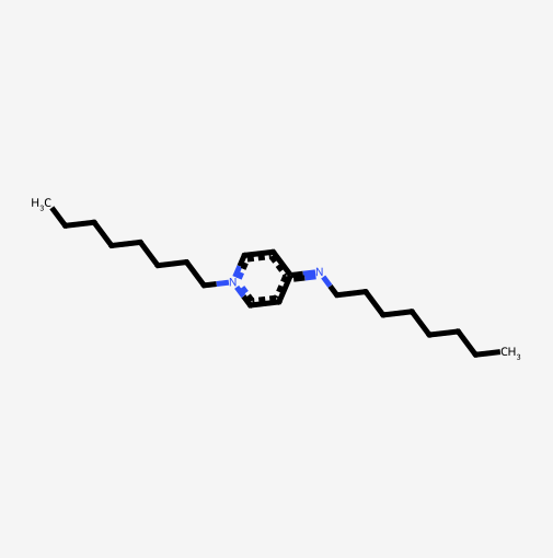 CCCCCCCCN=c1ccn(CCCCCCCC)cc1